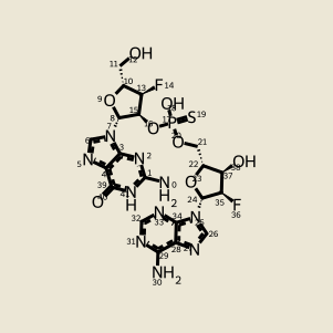 Nc1nc2c(ncn2[C@@H]2O[C@H](CO)[C@@H](F)[C@H]2OP(O)(=S)OC[C@H]2O[C@@H](n3cnc4c(N)ncnc43)[C@H](F)[C@@H]2O)c(=O)[nH]1